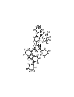 c1ccc(-c2nc(-c3ccc4c(c3)C3(c5cnccc5-4)C4CC5CC(C4)CC3C5)nc(-c3cccc4oc5c(-c6ccccc6)cccc5c34)n2)cc1